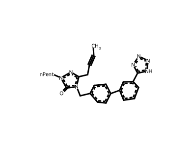 CC#CCc1nn(CCCCC)c(=O)n1Cc1ccc(-c2cccc(-c3nnn[nH]3)c2)cc1